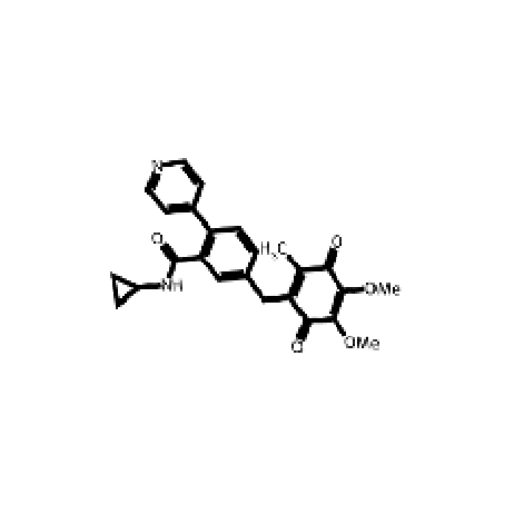 COC1=C(OC)C(=O)C(Cc2ccc(-c3ccncc3)c(C(=O)NC3CC3)c2)=C(C)C1=O